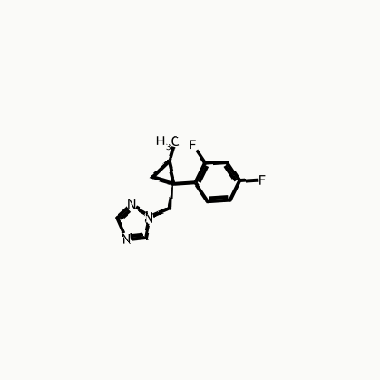 CC1C[C@@]1(Cn1cncn1)c1ccc(F)cc1F